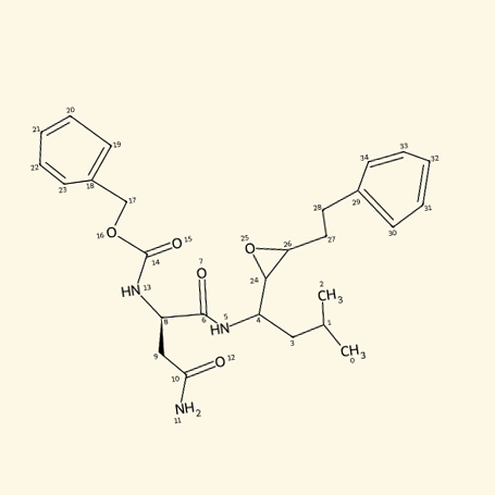 CC(C)CC(NC(=O)[C@@H](CC(N)=O)NC(=O)OCc1ccccc1)C1OC1CCc1ccccc1